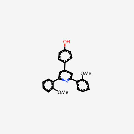 COc1ccccc1-c1cc(-c2ccc(O)cc2)cc(-c2ccccc2OC)n1